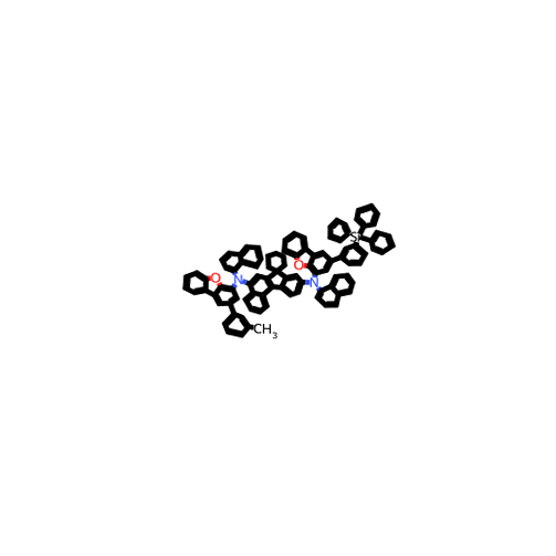 Cc1cccc(-c2cc(N(c3cccc4ccccc34)c3cc4c(c5ccccc35)-c3ccc(N(c5cccc6ccccc56)c5cc(-c6cccc([Si](c7ccccc7)(c7ccccc7)c7ccccc7)c6)cc6c5oc5ccccc56)cc3C43CCCCC3)c3oc4ccccc4c3c2)c1